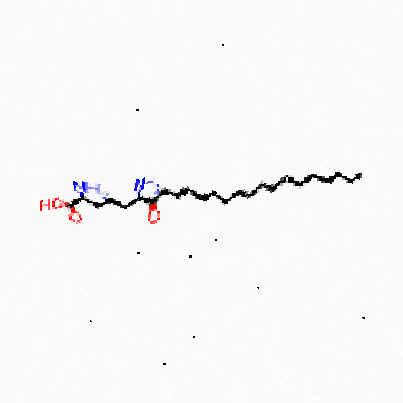 CCCCCCCCCCCCCCCCCC(=O)C(N)CCC[C@H](N)C(=O)O